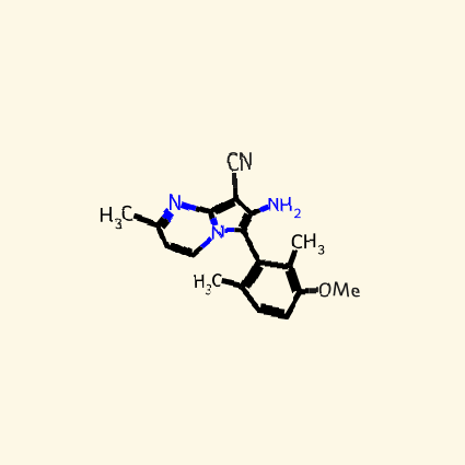 COc1ccc(C)c(-c2c(N)c(C#N)c3nc(C)ccn23)c1C